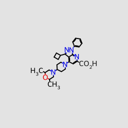 CC1CN(C2CCN(c3cc(C(=O)O)nc4c3c(C3CCC3)nn4-c3ccccc3)CC2)CC(C)O1